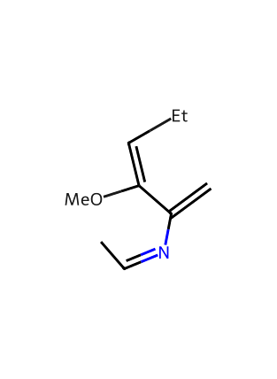 C=C(/N=C\C)/C(=C\CC)OC